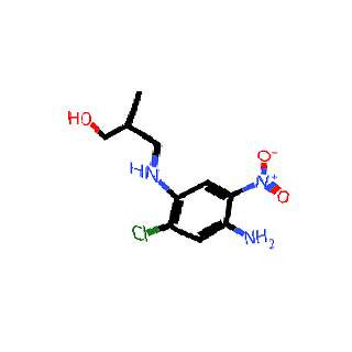 CC(CO)CNc1cc([N+](=O)[O-])c(N)cc1Cl